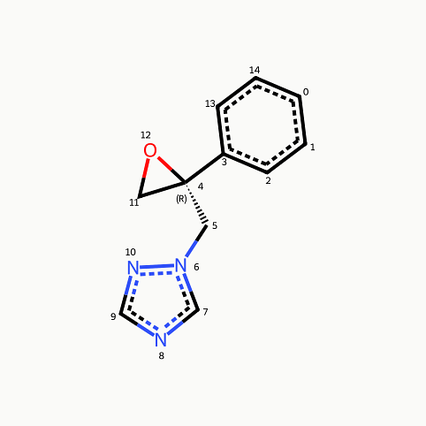 c1ccc([C@@]2(Cn3cncn3)CO2)cc1